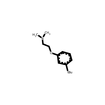 CN(C)CCOc1cccc(C(C)(C)C)c1